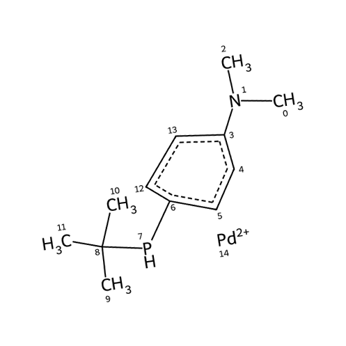 CN(C)c1ccc(PC(C)(C)C)cc1.[Pd+2]